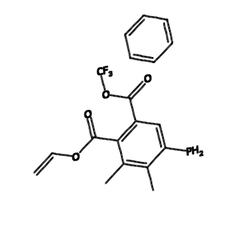 C=COC(=O)c1c(C(=O)OC(F)(F)F)cc(P)c(C)c1C.c1ccccc1